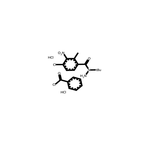 Cc1c(C(=O)N(N)C(C)(C)C)ccc(Cl)c1[N+](=O)[O-].Cl.Cl.O=C(Cl)c1ccccc1